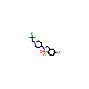 O=S1(=O)c2ccc(Br)cc2CN1C1CCN(CC(F)(F)F)CC1